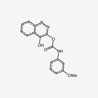 COc1cccc(NC(=O)Oc2nnc3ccccc3c2O)c1